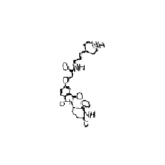 O=C(COc1ccc2c(c1)C(=O)N(C1CCC(=O)NC1=O)C2=O)NCCCC1CCNCC1